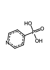 O=P(O)(O)c1ccncc1